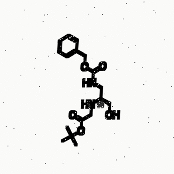 CC(C)(C)OC(=O)CN[C@H](CO)CNC(=O)OCc1ccccc1